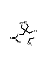 CCCl.O=[PH](O)OCC(CO)(CO)CO